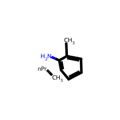 CCCC.Cc1ccccc1N